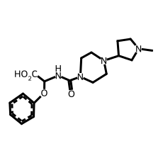 CN1CCC(N2CCN(C(=O)NC(Oc3ccccc3)C(=O)O)CC2)C1